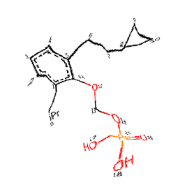 CC(C)c1cccc(CCC2CC2)c1OCOP(=O)(O)O